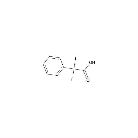 O=C(O)C(F)(I)c1ccccc1